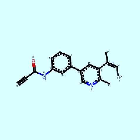 C#CC(=O)Nc1cccc(-c2cnc(C)c(/C(C)=C\CCC)c2)c1